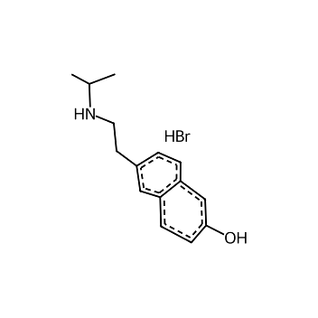 Br.CC(C)NCCc1ccc2cc(O)ccc2c1